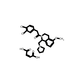 COc1cccc2c1CCN(C(=O)Cc1ccc(Cl)c(Cl)c1)C2CN1CCCC1.O=C(O)/C=C\C(=O)O